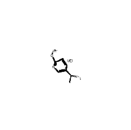 CC(C)Oc1ccc(C(C)N)cn1.Cl